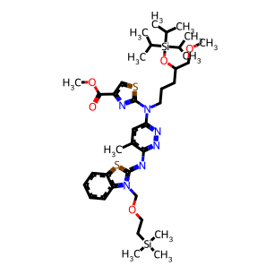 COCC(CCCN(c1cc(C)c(/N=c2\sc3ccccc3n2COCC[Si](C)(C)C)nn1)c1nc(C(=O)OC)cs1)O[Si](C(C)C)(C(C)C)C(C)C